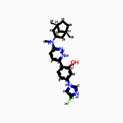 CN(c1ccc(-c2ccc(-n3cnc(F)c3)cc2O)nn1)[C@H]1C[C@]2(C)CC[C@](C)(C1)C2